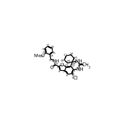 C=C1Nc2c(Cl)cc3cc(C(=O)NCc4ccccc4OC)oc3c2C2(CCCCC2)N1